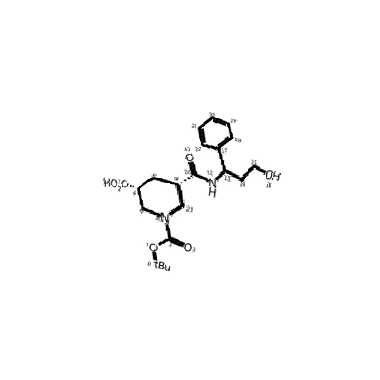 CC(C)(C)OC(=O)N1C[C@H](C(=O)O)C[C@H](C(=O)NC(CCO)c2ccccc2)C1